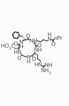 CCCC(=O)NCCCC[C@H]1NC(=O)[C@@H](Cc2ccccc2)NC(=O)[C@H](CC(=O)O)NC(=O)CNC(=O)[C@H](CCCNC(=N)N)NC1=O